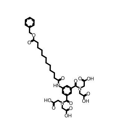 O=C(O)CN(CC(=O)O)C(=O)c1cc(NC(=O)CCCCCCCCCCC(=O)OCc2ccccc2)cc(C(=O)N(CC(=O)O)CC(=O)O)c1